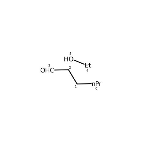 CCCCCC=O.CCO